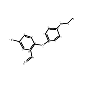 CCOc1ccc(Oc2ccc(F)cc2C=O)cc1